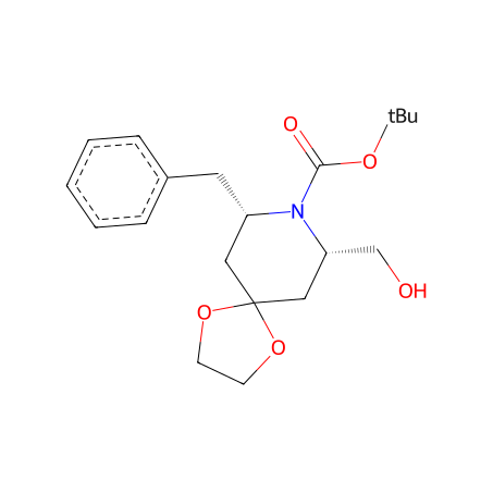 CC(C)(C)OC(=O)N1[C@H](CO)CC2(C[C@@H]1Cc1ccccc1)OCCO2